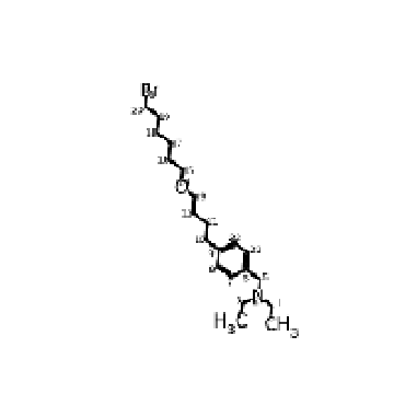 CCN(CC)Cc1ccc(CCCCOCCCCCCBr)cc1